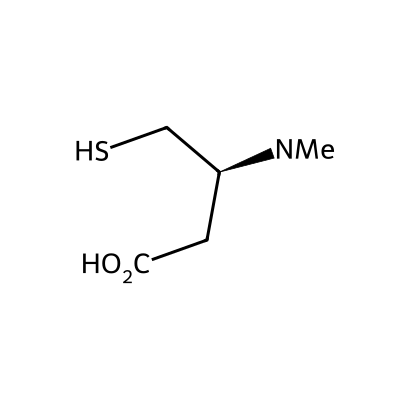 CN[C@H](CS)CC(=O)O